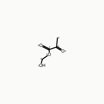 CC(=O)C(=O)OCO